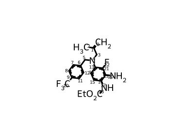 C=C(C)CN(Cc1ccc(C(F)(F)F)cc1)c1ccc(NC(=O)OCC)c(N)c1F